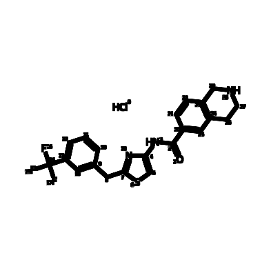 Cl.O=C(Nc1csc(Cc2cccc(C(F)(F)F)c2)n1)c1ccc2c(c1)CCNC2